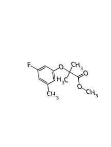 COC(=O)C(C)(C)Oc1cc(C)cc(F)c1